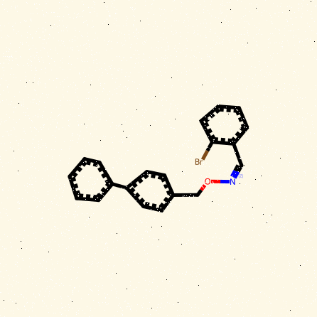 Brc1ccccc1/[C]=N\OCc1ccc(-c2ccccc2)cc1